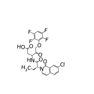 CC[C@@H](C(=O)NC(CC(=O)O)C(=O)COc1c(F)c(F)cc(F)c1F)n1ccc2ccc(Cl)cc2c1=O